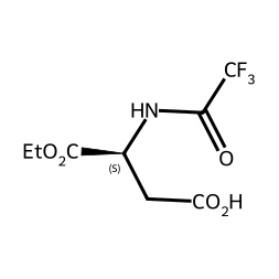 CCOC(=O)[C@H](CC(=O)O)NC(=O)C(F)(F)F